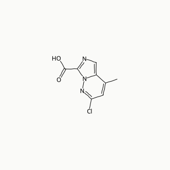 Cc1cc(Cl)nn2c(C(=O)O)ncc12